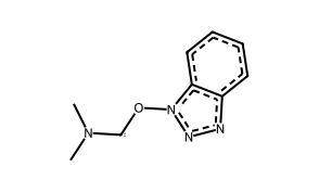 CN(C)[C]On1nnc2ccccc21